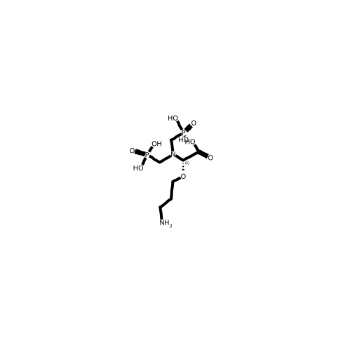 NCCCO[C@@H](C(=O)O)N(CP(=O)(O)O)CP(=O)(O)O